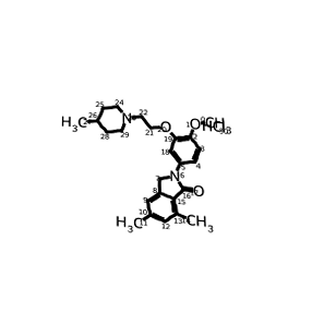 COc1ccc(N2Cc3cc(C)cc(C)c3C2=O)cc1OCCN1CCC(C)CC1.Cl